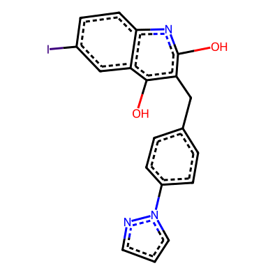 Oc1nc2ccc(I)cc2c(O)c1Cc1ccc(-n2cccn2)cc1